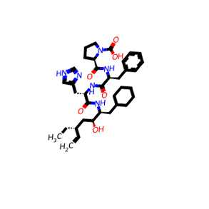 C=C[C@H](CC)C[C@H](O)[C@H](CC1CCCCC1)NC(=O)[C@H](Cc1c[nH]cn1)NC(=O)[C@H](Cc1ccccc1)NC(=O)[C@H]1CCCN1C(=O)O